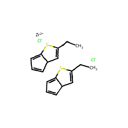 CCC1=CC2C=CC=C2S1.CCC1=CC2C=CC=C2S1.[Cl-].[Cl-].[Zr+2]